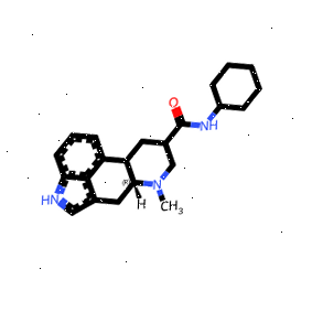 CN1CC(C(=O)NC2CCCCC2)CC2c3cccc4[nH]cc(c34)C[C@H]21